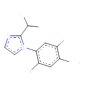 CCOC(=O)c1cc([N+](=O)[O-])c(-n2ccnc2C(CC)CC)cc1Cl